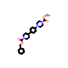 CC(C)(C)OC(=O)N1CCN(c2ccc(C3=CCN(C(=O)OCc4ccccc4)CC3)cc2)CC1